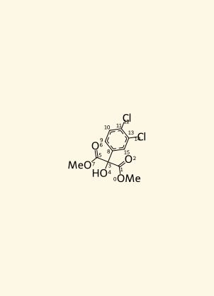 COC(=O)C(O)(C(=O)OC)c1ccc(Cl)c(Cl)c1